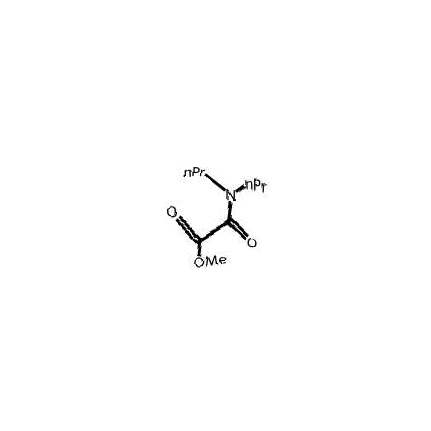 CCCN(CCC)C(=O)C(=O)OC